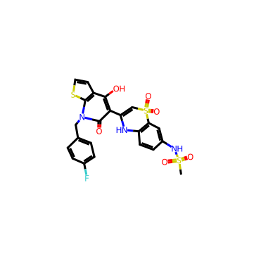 CS(=O)(=O)Nc1ccc2c(c1)S(=O)(=O)C=C(c1c(O)c3ccsc3n(Cc3ccc(F)cc3)c1=O)N2